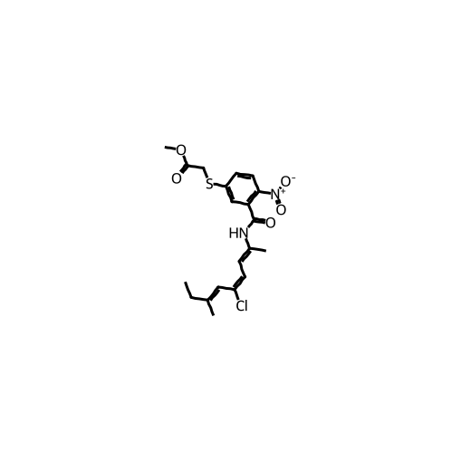 CC/C(C)=C/C(Cl)=C\C=C(/C)NC(=O)c1cc(SCC(=O)OC)ccc1[N+](=O)[O-]